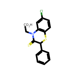 O=C(O)CN1C(=S)C(c2ccccc2)Sc2ccc(Cl)cc21